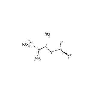 CC(C)[C@H](C)CCC(N)C(=O)O.Cl